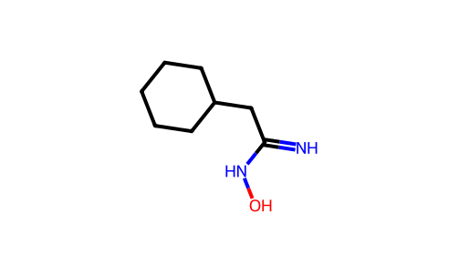 N=C(CC1CCCCC1)NO